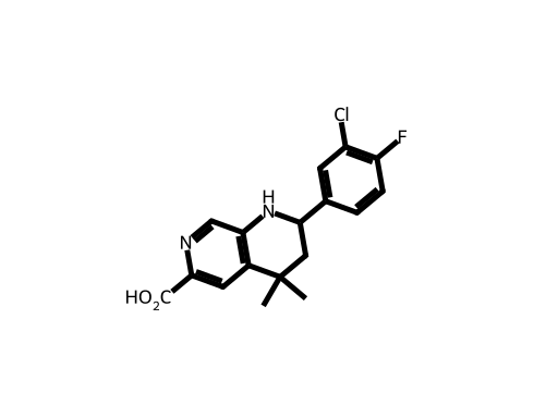 CC1(C)CC(c2ccc(F)c(Cl)c2)Nc2cnc(C(=O)O)cc21